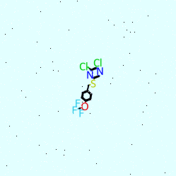 FC(F)(F)Oc1ccc(CSc2cnc(Cl)c(Cl)n2)cc1